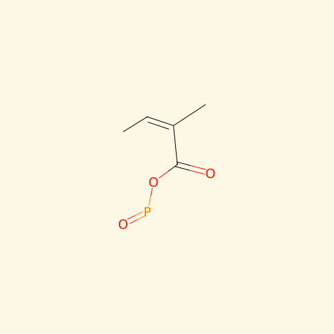 CC=C(C)C(=O)OP=O